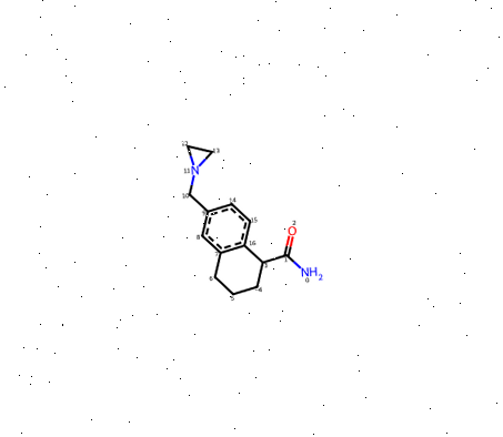 NC(=O)C1[C]CCc2cc(CN3CC3)ccc21